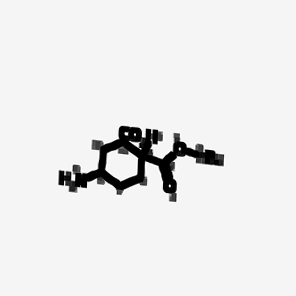 CCCCOC(=O)C1(C(=O)O)CCC(N)CC1